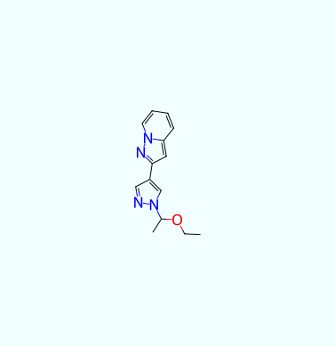 CCOC(C)n1cc(-c2cc3ccccn3n2)cn1